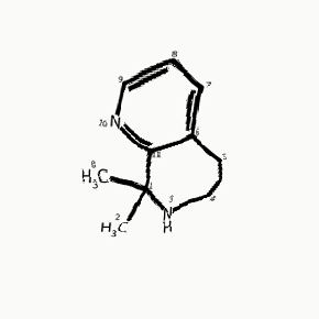 CC1(C)NCCc2cccnc21